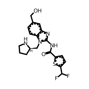 O=C(Nc1nc2cc(CO)ccc2n1C[C@H]1CCCN1)c1ccc(C(F)F)s1